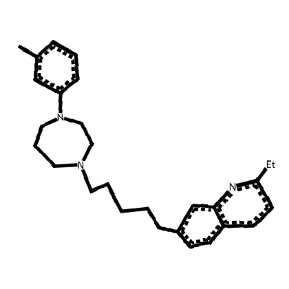 CCc1ccc2ccc(CCCCCN3CCCN(c4cccc(C)c4)CC3)cc2n1